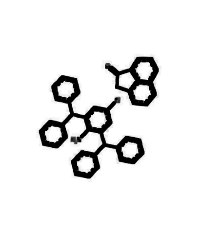 Nc1c(C(c2ccccc2)c2ccccc2)cc(Cl)cc1C(c1ccccc1)c1ccccc1.O=C1Cc2cccc3cccc1c23